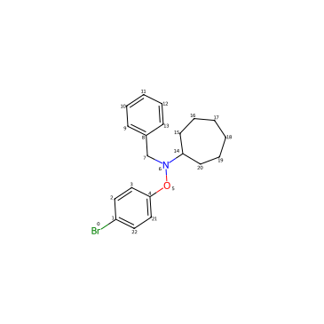 Brc1ccc(ON(Cc2ccccc2)C2CCCCCC2)cc1